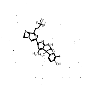 C[C@@]1(c2ccc(O)c(F)c2)C(=O)Nc2nc(-c3cn4ccnc4c(CCC(F)(F)C(F)(F)F)n3)nc(N)c21